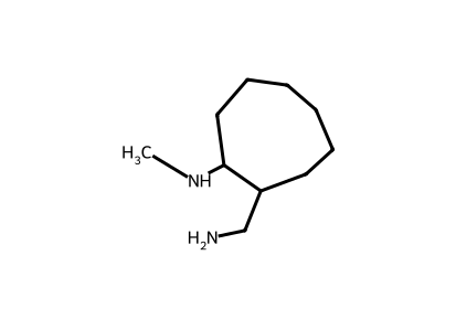 CNC1CCCCCCC1CN